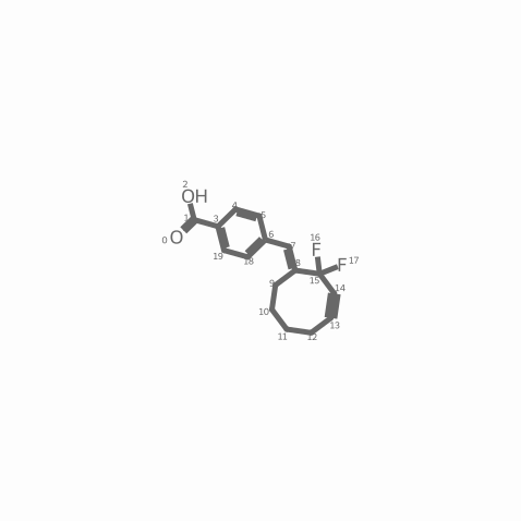 O=C(O)c1ccc(/C=C2\CCCCC#CC2(F)F)cc1